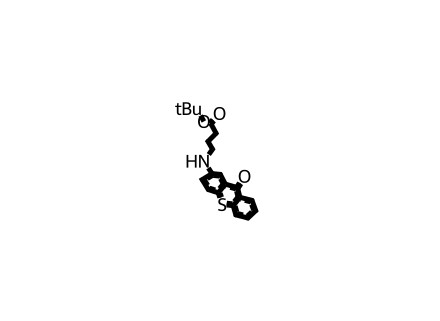 CC(C)(C)OC(=O)CCCNc1ccc2sc3ccccc3c(=O)c2c1